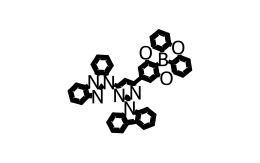 c1cc2c3c(c1)Oc1cc(-c4cc(-n5c6ccccc6n6c7ccccc7nc56)nc(-n5c6ccccc6c6ccccc65)n4)cc4c1B3c1c(cccc1O4)O2